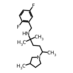 CC1CCN(C(C)CCC(C)(C)NCc2cc(F)ccc2F)C1